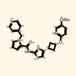 COc1ccc(O[C@H]2C[C@@H](c3csc(NC(=O)c4cccn4Cc4ccncc4)n3)C2)nc1